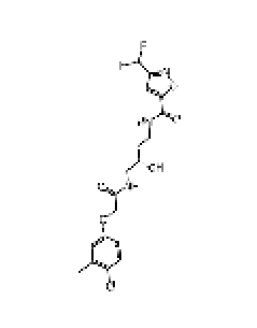 Cc1cc(OCC(=O)NC[C@@H](O)CCNC(=O)c2cc(C(F)F)no2)ccc1Cl